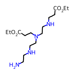 CCOC(=O)CCNCCN(CCNCCN)CCC(=O)OCC